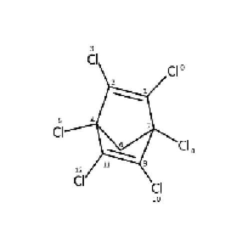 ClC1=C(Cl)C2(Cl)CC1(Cl)C(Cl)=C2Cl